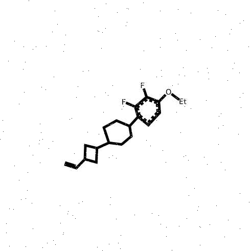 C=CC1CC(C2CCC(c3ccc(OCC)c(F)c3F)CC2)C1